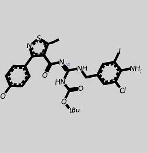 COc1ccc(-c2nsc(C)c2C(=O)/N=C(/NCc2cc(Cl)c(N)c(I)c2)NC(=O)OC(C)(C)C)cc1